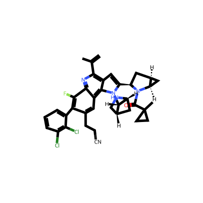 C=C(C)c1nc2c(F)c(-c3cccc(Cl)c3Cl)c(CCC#N)cc2c2c1cc([C@H]1C[C@H]3C[C@H]3N1C(=O)C1(C)CC1)n2[C@H]1[C@H]2CN[C@@H]1C2